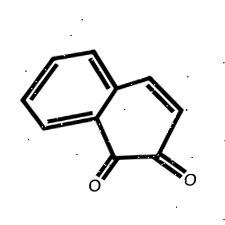 O=C1[C]=Cc2ccccc2C1=O